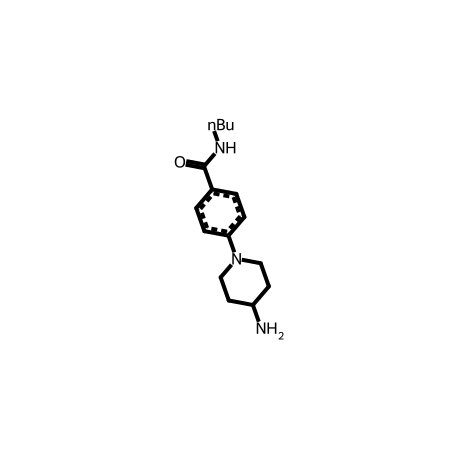 CCCCNC(=O)c1ccc(N2CCC(N)CC2)cc1